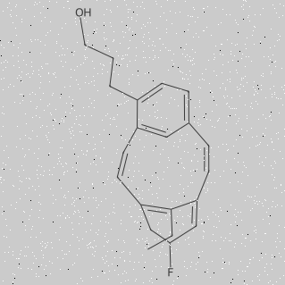 CCc1c2ccc3cc(ccc3CCCO)ccc1=CC(F)C2